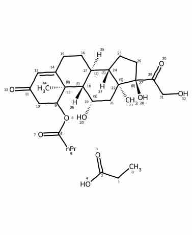 CCC(=O)O.CCCC(=O)OC1CC(=O)C=C2CC[C@@H]3[C@H]([C@@H](O)C[C@@]4(C)[C@H]3CC[C@]4(O)C(=O)CO)[C@]21C